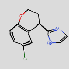 Clc1ccc2c(c1)C(c1ncc[nH]1)CCO2